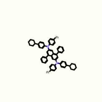 CC(C)c1ccc(N(c2ccc(C3CCCCC3)cc2)c2cc(-c3ccccc3)c3cc(N(c4ccc(C(C)C)cc4)c4ccc(C5CCCCC5)cc4)cc(-c4ccccc4)c3c2)cc1